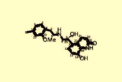 [CH2]c1ccc(CCNC[C@H](O)c2ccc(O)c3[nH]c(=O)ccc23)c(OC)c1